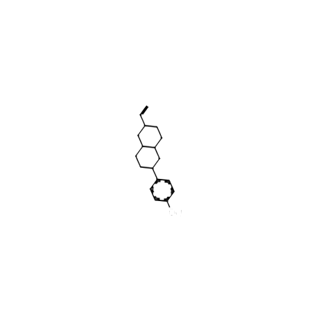 C=CC1CCC2CC(c3ccc(O)cc3)CCC2C1